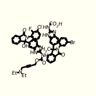 CC1(c2ccc3nc(NC(=O)O)[nH]c3c2)c2ccccc2C(=O)N1c1cccc(Br)c1.CCN(CC)CC#CCOC(=O)Nc1nc2ccc(C3(O)c4ccccc4C(=O)N3c3cccc(Cl)c3F)cc2[nH]1